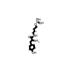 NC(Cc1ccc(O)cc1)C(=O)NCCCCON(O)O